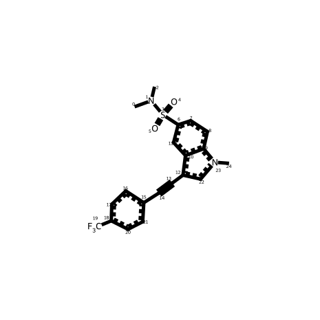 CN(C)S(=O)(=O)c1ccc2c(c1)c(C#Cc1ccc(C(F)(F)F)cc1)cn2C